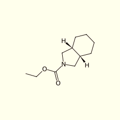 CCOC(=O)N1C[C@H]2CCCC[C@H]2C1